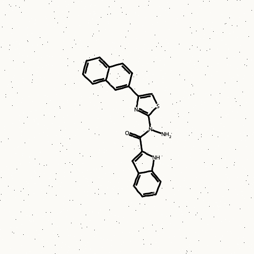 NN(C(=O)c1cc2ccccc2[nH]1)c1nc(-c2ccc3ccccc3c2)cs1